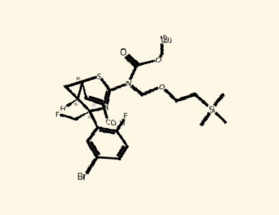 CC(C)(C)OC(=O)N(COCC[Si](C)(C)C)C1=N[C@](CF)(c2cc(Br)ccc2F)[C@@H]2C[C@]2(/C=C/C(=O)O)S1